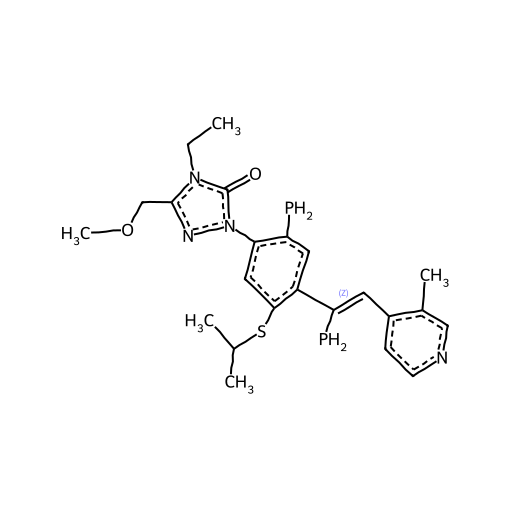 CCn1c(COC)nn(-c2cc(SC(C)C)c(/C(P)=C/c3ccncc3C)cc2P)c1=O